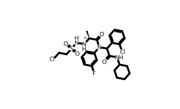 C[C@H](NNS(=O)(=O)CCCl)C(=O)N(c1cccc(F)c1)C(C(=O)NC1CCCCC1)c1ccccc1Cl